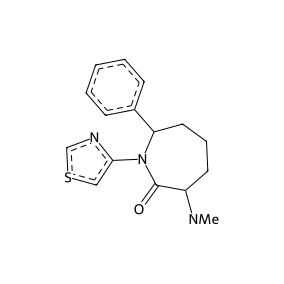 CNC1CCCC(c2ccccc2)N(c2cscn2)C1=O